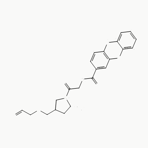 C=CCOCC1C[C@@H](C(=O)O)N(C(=O)CNC(=O)c2ccc3c(c2)Oc2ccccc2S3)C1